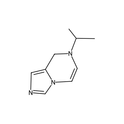 CC(C)N1C=Cn2cncc2C1